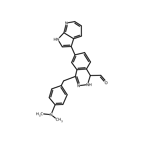 CN(C)c1ccc(CC2=NNC(C=O)c3ccc(-c4c[nH]c5ncccc45)cc32)cc1